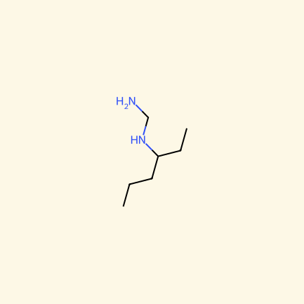 CCCC(CC)NCN